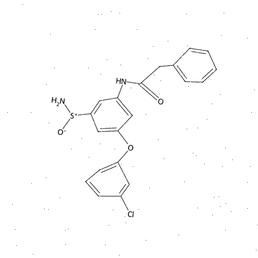 N[S+]([O-])c1cc(NC(=O)Cc2ccccc2)cc(Oc2cccc(Cl)c2)c1